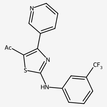 CC(=O)c1sc(Nc2cccc(C(F)(F)F)c2)nc1-c1cccnc1